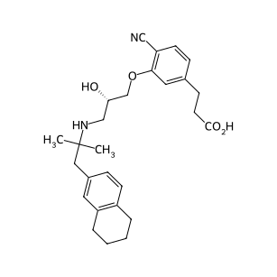 CC(C)(Cc1ccc2c(c1)CCCC2)NC[C@H](O)COc1cc(CCC(=O)O)ccc1C#N